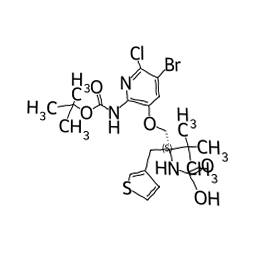 CC(C)(C)OC(=O)Nc1nc(Cl)c(Br)cc1OC[C@@](Cc1ccsc1)(NC(=O)O)C(C)(C)C